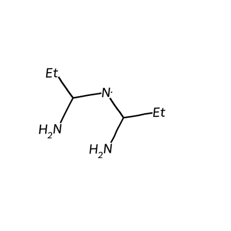 CCC(N)[N]C(N)CC